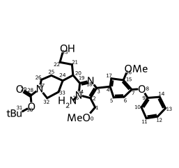 COCc1c(-c2ccc(Oc3ccccc3)c(OC)c2)nc(C(CCO)C2CCN(C(=O)OC(C)(C)C)CC2)n1N